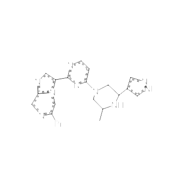 CC1CN(c2ccnc(-c3cnc4cnc(Br)cn34)n2)CC(c2cn[nH]c2)N1